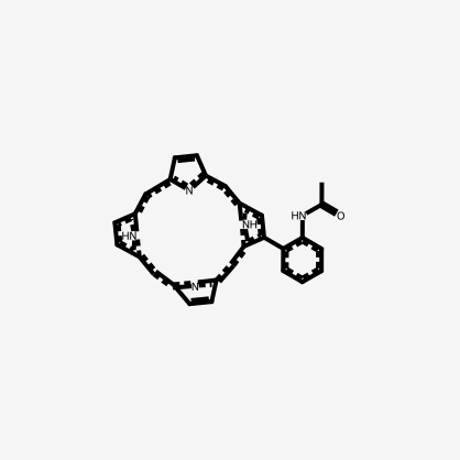 CC(=O)Nc1ccccc1-c1cc2cc3nc(cc4ccc(cc5nc(cc1[nH]2)C=C5)[nH]4)C=C3